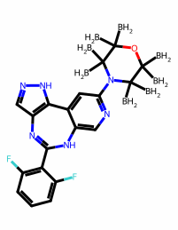 BC1(B)OC(B)(B)C(B)(B)N(c2cc3c(cn2)NC(c2c(F)cccc2F)=Nc2cn[nH]c2-3)C1(B)B